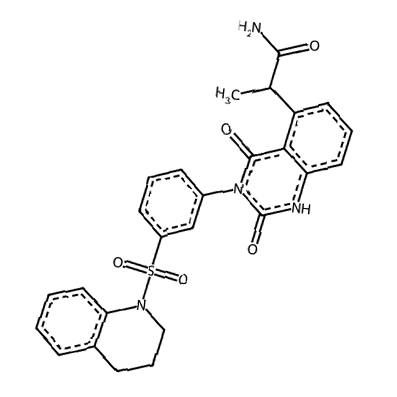 CC(C(N)=O)c1cccc2[nH]c(=O)n(-c3cccc(S(=O)(=O)N4CCCc5ccccc54)c3)c(=O)c12